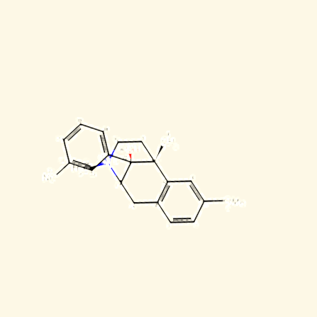 COc1ccc2c(c1)[C@@]1(C)CCN(C)C(C2)[C@]1(O)c1cccc(C#N)c1